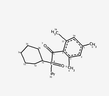 Cc1cc(C)c(C(=O)P(=O)(C(C)C)C2CCCCC2)c(C)c1